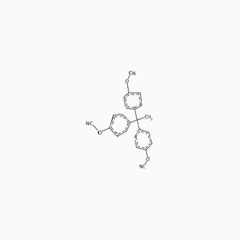 CC(c1ccc(OC#N)cc1)(c1ccc(OC#N)cc1)c1ccc(OC#N)cc1